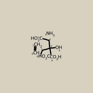 C=C.N.O=C(O)CC(O)(CC(=O)O)C(=O)O